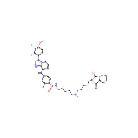 CCc1cc(Nc2nccn3c(-c4ccc(OC)c(F)c4F)cnc23)ccc1C(=O)NCCCCCN(C)CCCCCN1C(=O)c2ccccc2C1=O